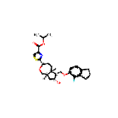 CC(C)OC(=O)c1csc([C@H]2CC[C@H]3[C@@H](CO2)C[C@@H](O)[C@@H]3COc2ccc3c(c2F)CCC3)n1